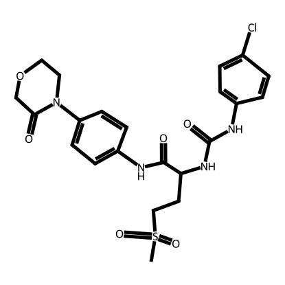 CS(=O)(=O)CCC(NC(=O)Nc1ccc(Cl)cc1)C(=O)Nc1ccc(N2CCOCC2=O)cc1